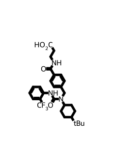 CC(C)(C)C1CCC(N(Cc2ccc(C(=O)NCCC(=O)O)cc2)C(=O)Nc2ccccc2C(F)(F)F)CC1